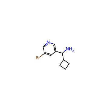 NC(c1cncc(Br)c1)C1CCC1